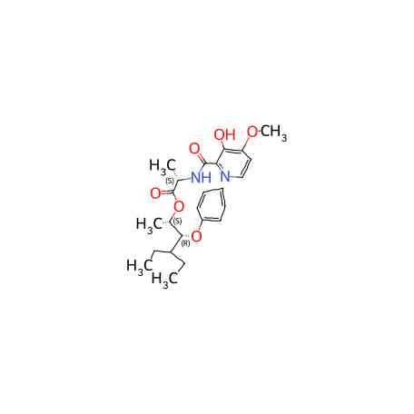 CCC(CC)[C@@H](Oc1ccccc1)[C@H](C)OC(=O)[C@H](C)NC(=O)c1nccc(OC)c1O